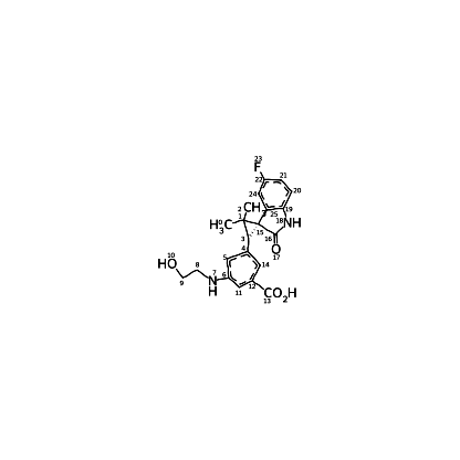 CC1(C)C(c2cc(NCCO)cc(C(=O)O)c2)[C@]12C(=O)Nc1ccc(F)cc12